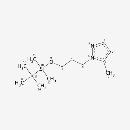 Cc1ccnn1CCCO[Si](C)(C)C(C)(C)C